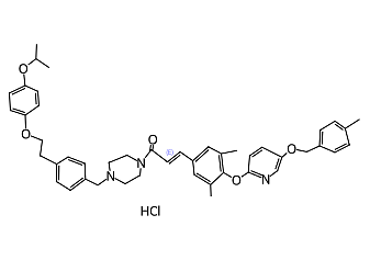 Cc1ccc(COc2ccc(Oc3c(C)cc(/C=C/C(=O)N4CCN(Cc5ccc(CCOc6ccc(OC(C)C)cc6)cc5)CC4)cc3C)nc2)cc1.Cl